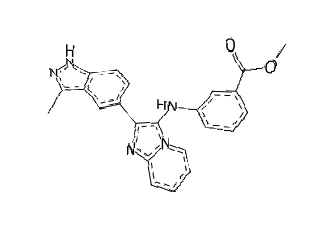 COC(=O)c1cccc(Nc2c(-c3ccc4[nH]nc(C)c4c3)nc3ccccn23)c1